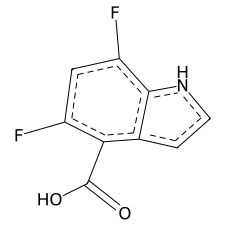 O=C(O)c1c(F)cc(F)c2[nH]ccc12